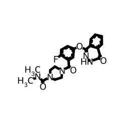 CN(C)C(=O)N1CCN(C(=O)c2cc(OC3=NNC4OC4c4ccccc43)ccc2F)CC1